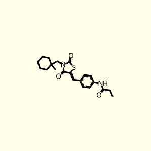 CCC(=O)Nc1ccc(/C=C2\SC(=O)N(CC3(C)CCCCC3)C2=O)cc1